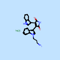 Cl.NCCCn1cc(C2=C(c3c[nH]c4ccccc34)C(=O)NC2=O)c2ccccc21